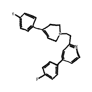 Fc1ccc(C2=CCN(Cc3cc(-c4ccc(F)cc4)ccn3)CC2)cc1